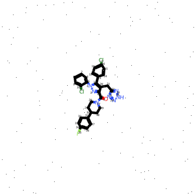 O=C(c1nn(-c2ccccc2Cl)c(-c2ccc(Cl)cc2)c1Cc1nn[nH]n1)N1CCC(c2ccc(F)cc2)CC1